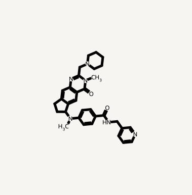 CN(c1ccc(C(=O)NCc2cccnc2)cc1)C1CCc2cc3nc(CN4CCCCC4)n(C)c(=O)c3cc21